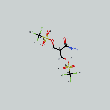 NC(=O)C(COS(=O)(=O)C(F)(F)F)COS(=O)(=O)C(F)(F)F